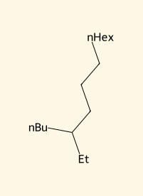 CCCCCCCCCC(CC)CCCC